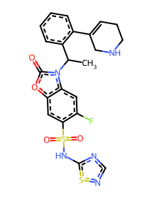 CC(c1ccccc1C1=CCCNC1)n1c(=O)oc2cc(S(=O)(=O)Nc3ncns3)c(F)cc21